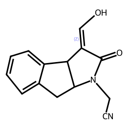 N#CCN1C(=O)/C(=C\O)C2c3ccccc3CC21